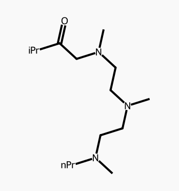 CCCN(C)CCN(C)CCN(C)CC(=O)C(C)C